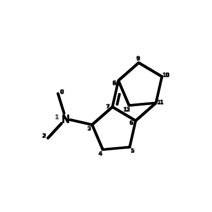 CN(C)C1CCC2C1=C1CCC2C1